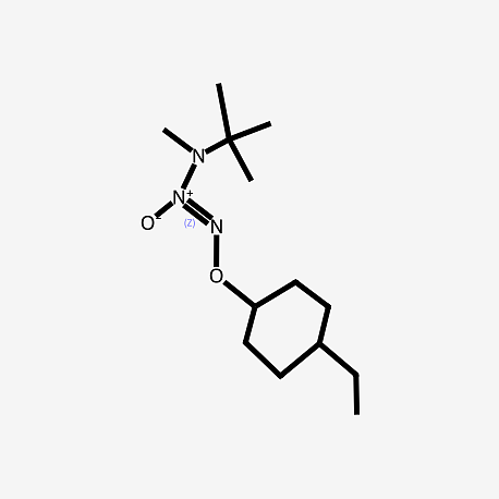 CCC1CCC(O/N=[N+](\[O-])N(C)C(C)(C)C)CC1